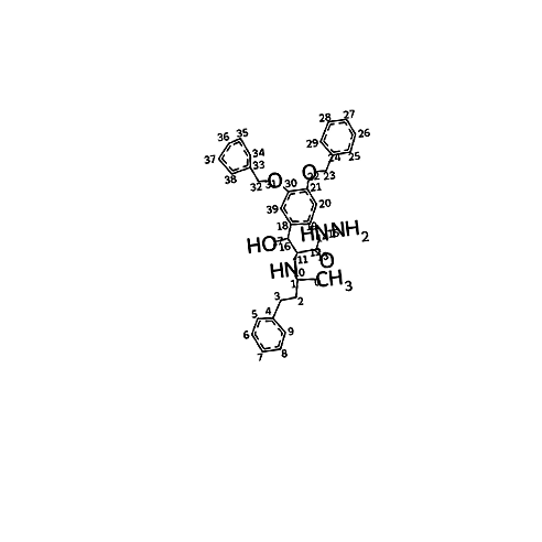 CC(CCc1ccccc1)N[C@H](C(=O)NN)C(O)c1ccc(OCc2ccccc2)c(OCc2ccccc2)c1